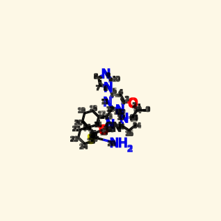 C[C@H](Oc1cc(-n2ccnc2)nc(-c2noc3c2CCC[C@@]32CCCc3sc(N)c(C#N)c32)n1)[C@@H]1CCCN1C